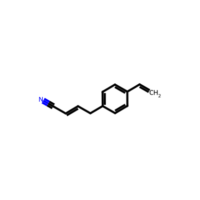 C=Cc1ccc(CC=CC#N)cc1